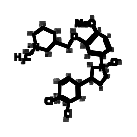 COc1ccc([N+]2([O-])CCC(c3ccc(Cl)c(Cl)c3)C2)cc1OCC1CCCN(C)C1